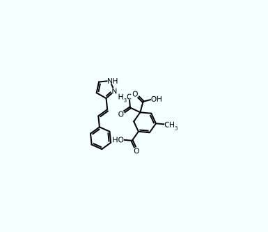 C(=Cc1cc[nH]n1)c1ccccc1.CC(=O)C1(C(=O)O)C=C(C)C=C(C(=O)O)C1